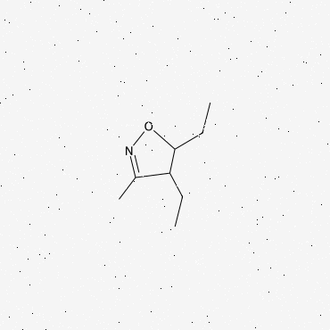 CCC1ON=C(C)C1CC